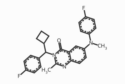 Cc1nc2ccc(N(C)c3ccc(F)cc3)cc2c(=O)n1C(c1ccc(F)cc1)C1CCC1